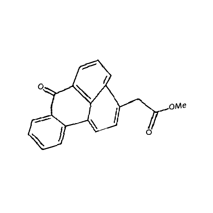 COC(=O)Cc1ccc2c3c(cccc13)C(=O)c1ccccc1-2